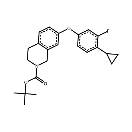 CC(C)(C)OC(=O)N1CCc2ccc(Oc3ccc(C4CC4)c(F)c3)cc2C1